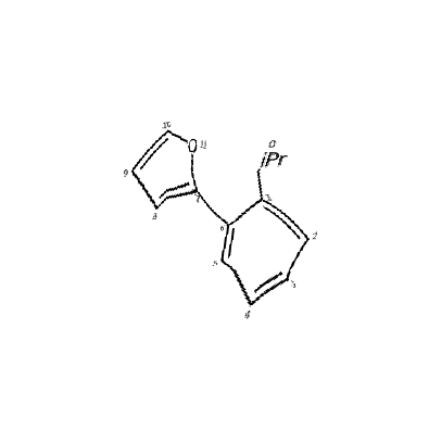 CC(C)c1ccccc1-c1ccco1